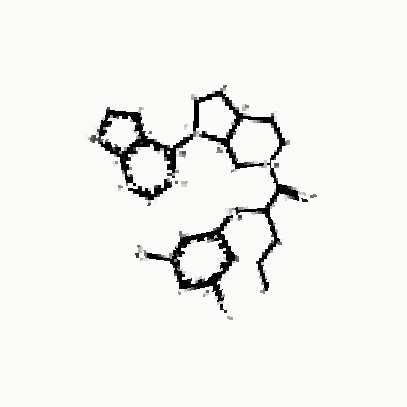 CCCC(Nc1cc(Cl)cc(Cl)c1)C(=O)N1CCC2CCN(c3ncnc4[nH]ccc34)C2C1